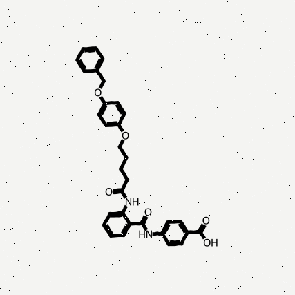 O=C(CCCCOc1ccc(OCc2ccccc2)cc1)Nc1ccccc1C(=O)Nc1ccc(C(=O)O)cc1